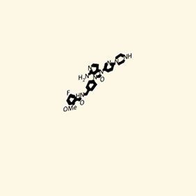 COc1ccc(F)cc1C(=O)NCc1ccc(-n2c(=O)n(-c3ccc(N4CCNCC4)nc3)c3ccnc(N)c32)cc1